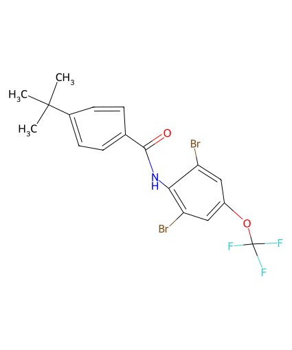 CC(C)(C)c1ccc(C(=O)Nc2c(Br)cc(OC(F)(F)F)cc2Br)cc1